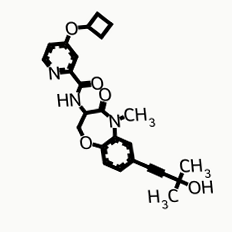 CN1C(=O)C(NC(=O)c2cc(OC3CCC3)ccn2)COc2ccc(C#CC(C)(C)O)cc21